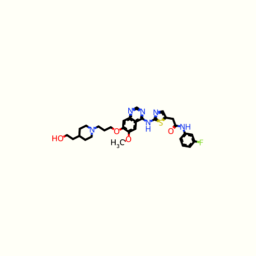 COc1cc2c(Nc3ncc(CC(=O)Nc4cccc(F)c4)s3)ncnc2cc1OCCCN1CCC(CCO)CC1